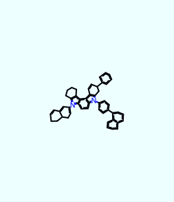 C1=CC2=CC(n3c4c(c5c6c7c(n(-c8ccc(-c9cccc%10ccccc9%10)cc8)c6ccc53)CC(c3ccccc3)C=C7)CCCC4)=CCC2CC1